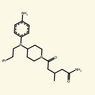 CC(C)CCN(c1ccc(N)cc1)C1CCN(C(=O)CC(C)CC(N)=O)CC1